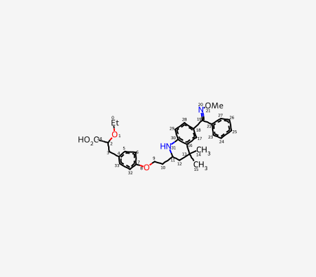 CCOC(Cc1ccc(OCCC2CC(C)(C)c3cc(C(=NOC)c4ccccc4)ccc3N2)cc1)C(=O)O